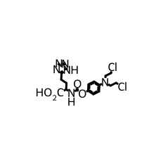 O=C(NC(CCc1nnn[nH]1)C(=O)O)Oc1ccc(N(CCCl)CCCl)cc1